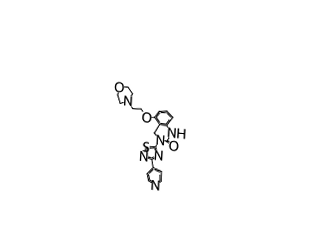 O=C1Nc2cccc(OCCN3CCOCC3)c2CN1c1nc(-c2ccncc2)ns1